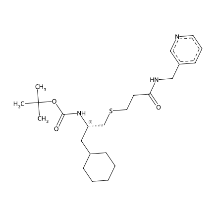 CC(C)(C)OC(=O)N[C@H](CSCCC(=O)NCc1cccnc1)CC1CCCCC1